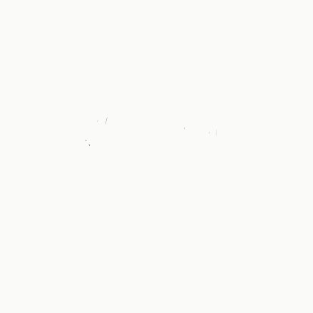 COc1ccc2c(c1)/C(=N\O)CC2